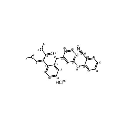 COC=C(C(=O)OC)c1ccccc1Cc1cc(Oc2ccccc2C#N)ncn1.Cl